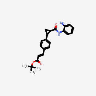 CC(C)(C)OC(=O)/C=C/c1ccc(C2CC2C(=O)Nc2ccccc2N)cc1